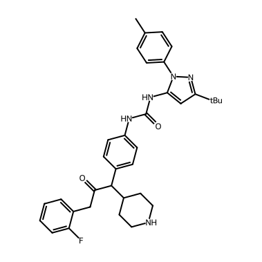 Cc1ccc(-n2nc(C(C)(C)C)cc2NC(=O)Nc2ccc(C(C(=O)Cc3ccccc3F)C3CCNCC3)cc2)cc1